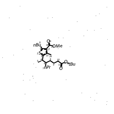 CCCCc1sc([C@H](C)C(CCC)CCCC(=O)OC(C)(C)C)c(C)c1C(=O)OC